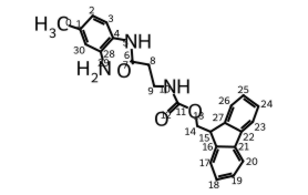 Cc1ccc(NC(=O)CCNC(=O)OCC2c3ccccc3-c3ccccc32)c(N)c1